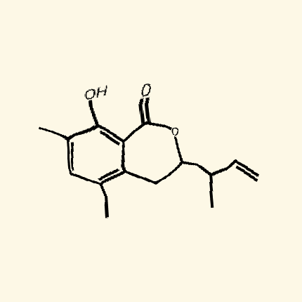 C=CC(C)C1Cc2c(C)cc(C)c(O)c2C(=O)O1